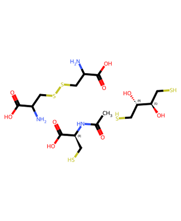 CC(=O)N[C@@H](CS)C(=O)O.NC(CSSCC(N)C(=O)O)C(=O)O.O[C@H](CS)[C@@H](O)CS